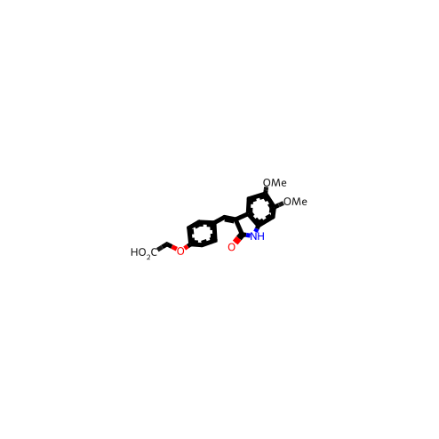 COc1cc2c(cc1OC)C(=Cc1ccc(OCC(=O)O)cc1)C(=O)N2